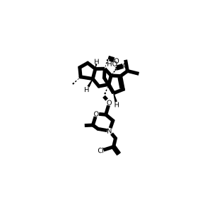 C=C(Cl)CN1CC(C)OC(OC[C@@]23C[C@@H]4[C@H](C)CC[C@H]4[C@]4(C=O)C[C@@H]2C=C(C(C)C)[C@@]34C(=O)O)C1